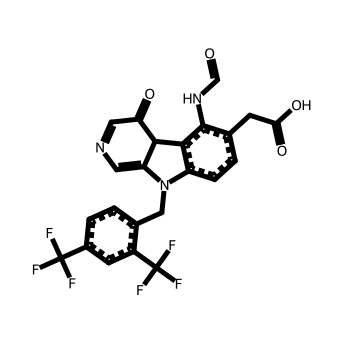 O=CNc1c(CC(=O)O)ccc2c1C1C(=O)C=NC=C1N2Cc1ccc(C(F)(F)F)cc1C(F)(F)F